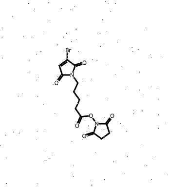 O=C(CCCCN1C(=O)C=C(Br)C1=O)ON1C(=O)CCC1=O